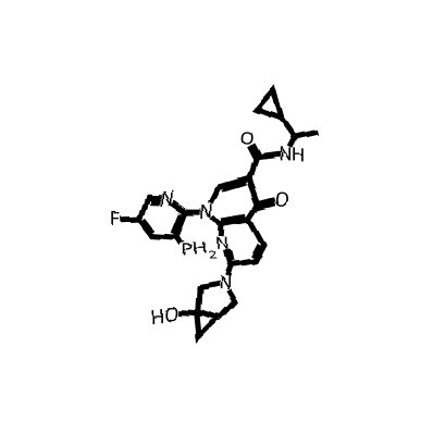 CC(NC(=O)c1cn(-c2ncc(F)cc2P)c2nc(N3CC4CC4(O)C3)ccc2c1=O)C1CC1